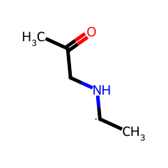 C[CH]NCC(C)=O